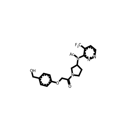 CC(=O)N(c1nnccc1C(F)(F)F)C1CCN(C(=O)COc2ccc(CO)cc2)C1